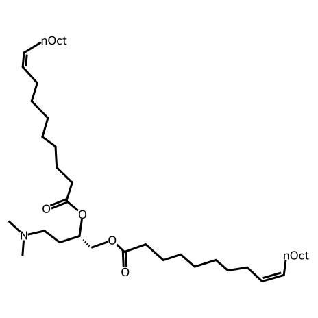 CCCCCCCC/C=C\CCCCCCCC(=O)OC[C@H](CCN(C)C)OC(=O)CCCCCCC/C=C\CCCCCCCC